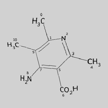 Cc1nc(C)c(C(=O)O)c(N)c1C